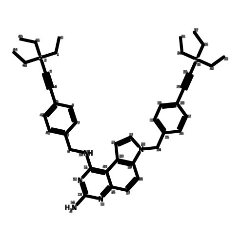 CCS(C#Cc1ccc(CNc2nc(N)nc3ccc4c(ccn4Cc4ccc(C#CS(CC)(CC)CC)cc4)c23)cc1)(CC)CC